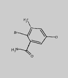 Cc1cc(Cl)cc(C(N)=O)c1Br